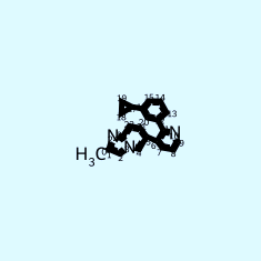 Cc1cn2cc(-c3cccnc3-c3cccc(C4CC4)c3)ccc2n1